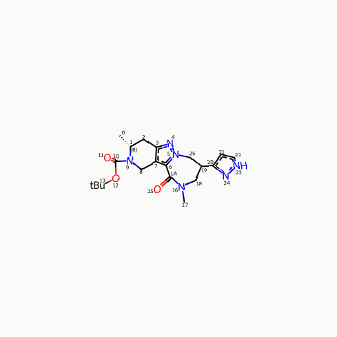 C[C@@H]1Cc2nn3c(c2CN1C(=O)OC(C)(C)C)C(=O)N(C)CC(c1cc[nH]n1)C3